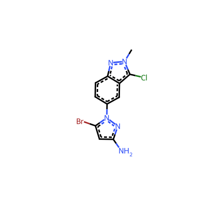 Cn1nc2ccc(-n3nc(N)cc3Br)cc2c1Cl